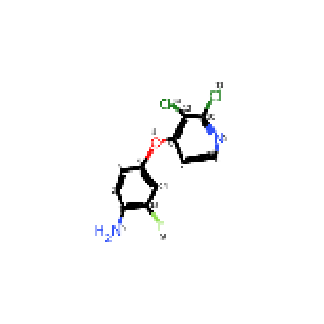 Nc1ccc(Oc2ccnc(Cl)c2Cl)cc1F